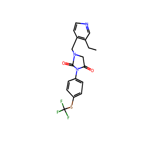 CCc1cnccc1CN1CC(=O)N(c2ccc(SC(F)(F)F)cc2)C1=O